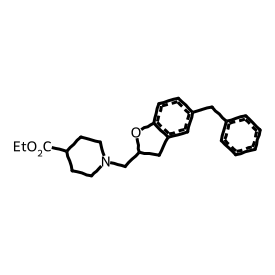 CCOC(=O)C1CCN(CC2Cc3cc(Cc4ccccc4)ccc3O2)CC1